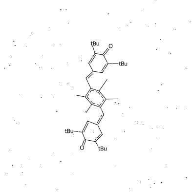 Cc1c(C)c(C=C2C=C(C(C)(C)C)C(=O)C(C(C)(C)C)=C2)c(C)c(C)c1C=C1C=C(C(C)(C)C)C(=O)C(C(C)(C)C)=C1